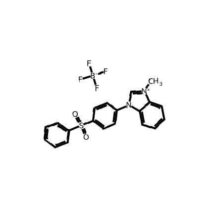 C[n+]1cn(-c2ccc(S(=O)(=O)c3ccccc3)cc2)c2ccccc21.F[B-](F)(F)F